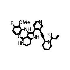 C=CC(=O)N1CCCCC1C#Cc1cnccc1-c1[nH]c2c(c1Nc1cccc(F)c1OC)C(=O)NCC2